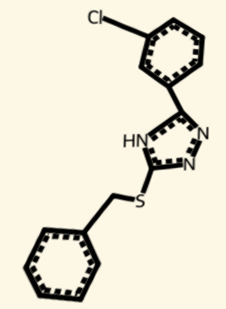 Clc1cccc(-c2nnc(SCc3ccccc3)[nH]2)c1